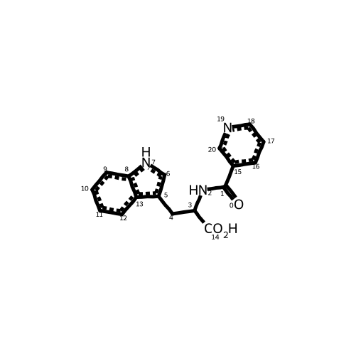 O=C(NC(Cc1c[nH]c2ccccc12)C(=O)O)c1cccnc1